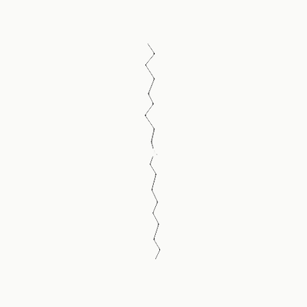 CCCCCCCC[CH2][Al][CH2]CCCCCCCC